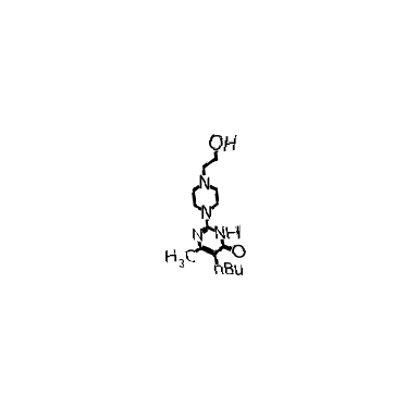 CCCCc1c(C)nc(N2CCN(CCO)CC2)[nH]c1=O